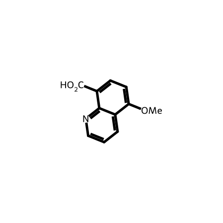 COc1ccc(C(=O)O)c2ncccc12